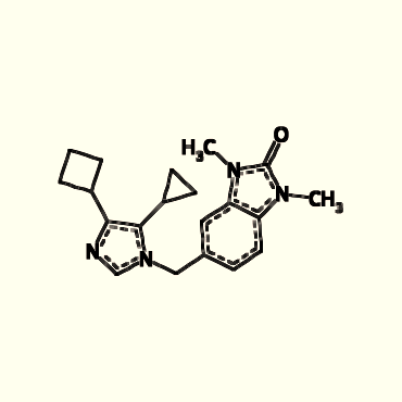 Cn1c(=O)n(C)c2cc(Cn3cnc(C4CCC4)c3C3CC3)ccc21